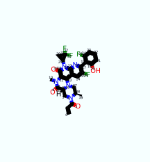 C=CC(=O)N1C[C@@H]2C(=O)N(C)c3c(c4cc(F)c(-c5c(O)cccc5F)nc4n(C4CC4(F)F)c3=O)N2C[C@H]1C